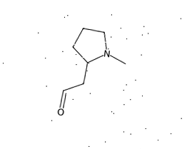 CN1CCCC1CC=O